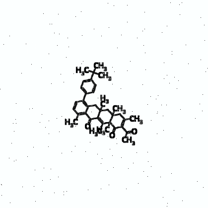 CC(=O)C1=C(C)CC2(C)CC3(C)Cc4c(-c5ccc(C(C)(C)C)cc5)ccc(C)c4C(=O)C3=C(C)C2(C)C1=O